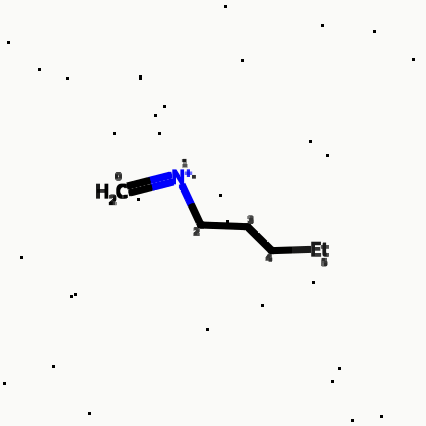 C=[N+]CCCCC